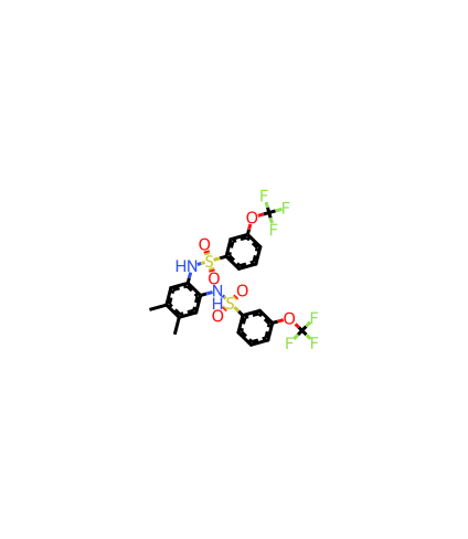 Cc1cc(NS(=O)(=O)c2cccc(OC(F)(F)F)c2)c(NS(=O)(=O)c2cccc(OC(F)(F)F)c2)cc1C